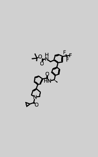 C[C@@H](NC(=O)c1cccc(C2=CCN(C(=O)C3CC3)CC2)c1)c1ccc(-c2cc(C(F)(F)F)ccc2CNC(=O)OC(C)(C)C)cc1